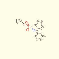 C=CCOC(=O)CN=C(c1ccccc1)c1ccccc1